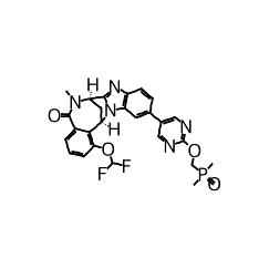 CN1C(=O)c2cccc(OC(F)F)c2[C@H]2C[C@@H]1c1nc3ccc(-c4cnc(OCP(C)(C)=O)nc4)cc3n12